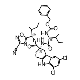 CCC(C)[C@H](NC(=O)OCc1ccccc1)C(=O)N[C@@]1(C(=O)N[C@H](c2nc(C#N)no2)C(C)CC)CCc2[nH]c3c(Cl)cc(Cl)cc3c2C1